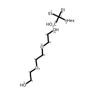 CCCCCCC(CC)(CC)C(=O)O.OCCOCCOCCO